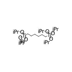 CC(C)[O][Ti]([CH2]CCCC[CH2][Ti]([O]C(C)C)([O]C(C)C)[O]C(C)C)([O]C(C)C)[O]C(C)C